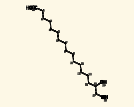 O=C(O)CCCCCCCCCCCCCCC(O)CO